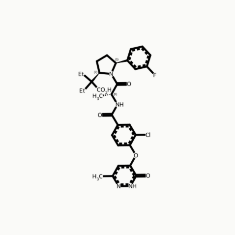 CCC(CC)(C(=O)O)[C@H]1CC[C@@H](c2cccc(F)c2)N1C(=O)[C@@H](C)NC(=O)c1ccc(Oc2cc(C)n[nH]c2=O)c(Cl)c1